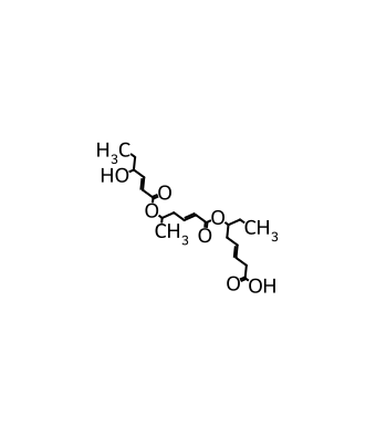 CCC(O)C=CC(=O)OC(C)CC=CC(=O)OC(CC)CC=CCC(=O)O